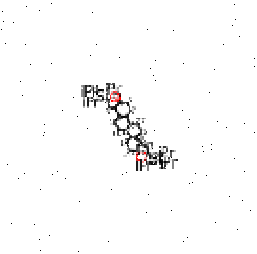 CC(C)[Si](c1cc2c(ccc3c2ccc2c4ccc5oc([Si](C(C)C)(C(C)C)C(C)C)cc5c4ccc32)o1)(C(C)C)C(C)C